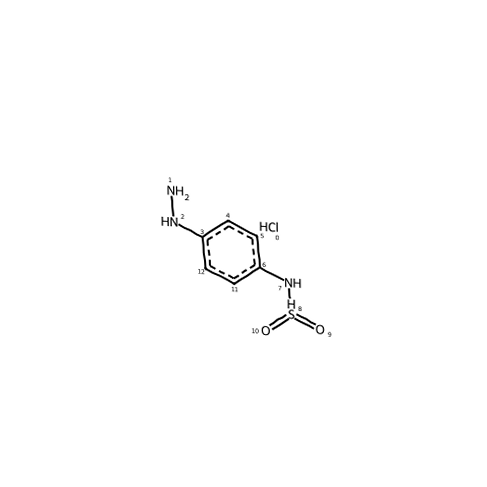 Cl.NNc1ccc(N[SH](=O)=O)cc1